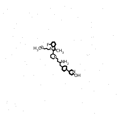 COCCCn1c(C2CCCN(CCC(N)Cc3ccc(-c4ccc(O)nc4)cc3)C2)c(C)c2cccc(F)c21